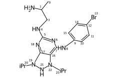 CC(N)CNc1nc(Nc2ccc(Br)cc2)c2c(n1)N(C(C)C)NN2C(C)C